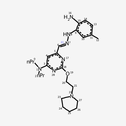 CCCN(CCC)c1cc(/C=N/Nc2cc(C)ccc2N)nc(OCCN2CCCCC2)n1